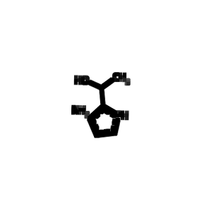 CC(O)c1ccc[pH]1.N